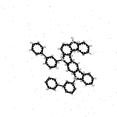 c1ccc(-c2cccc(-n3c4ccccc4c4cc5c6c7c(ccc6n(-c6cccc(-c8ccccc8)c6)c5cc43)sc3ccccc37)c2)cc1